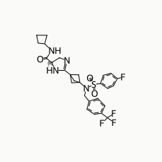 C[C@]1(C(=O)NC2CCC2)CN=C(C23CC(N(Cc4ccc(C(F)(F)F)cc4)S(=O)(=O)c4ccc(F)cc4)(C2)C3)N1